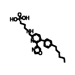 CCCCCCc1ccc(-c2ccc(CNCCCP(=O)(O)O)nc2-c2cocn2)cc1